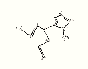 Cn1nncc1C(/C=C/N)NC=N